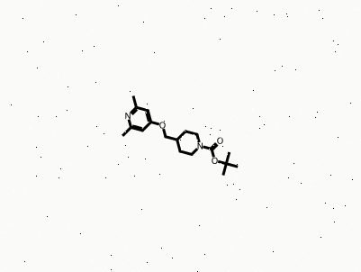 Cc1cc(OCC2CCN(C(=O)OC(C)(C)C)CC2)cc(C)n1